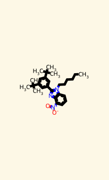 CCCCCCn1c(-c2cc(C(C)(C)C)cc(C(C)(C)C)c2)nc2c([N+](=O)[O-])cccc21